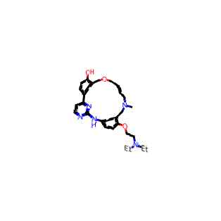 CCN(CC)CCOc1ccc2cc1CN(C)C/C=C/COCc1cc(ccc1O)-c1ccnc(n1)N2